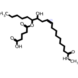 CCCCCC(OC(=O)CCCC(=O)O)C(O)C/C=C\CCCCCCCC(=O)NC